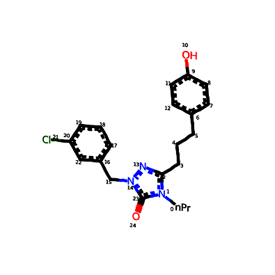 CCCn1c(CCCc2ccc(O)cc2)nn(Cc2cccc(Cl)c2)c1=O